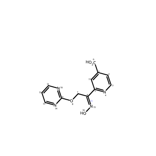 O=C(O)c1ccnc(/C(COc2ncccn2)=N/O)c1